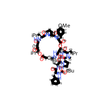 CC[C@H](C)[C@@H]1CCC(=O)O[C@@H](C(C)C)C(=O)[C@H](C)C(=O)N[C@@H](CC(C)C)C(=O)N2CCC[C@H]2C(=O)N(C)[C@@H](Cc2ccc(OC)cc2)C(=O)O[C@H](C)[C@H](NC(=O)[C@@H](CC(C)C)N(C)C(=O)[C@@H]2CCCN2C(=O)[C@H](C)NC(=O)[C@@H](Cc2ccccc2)NC(=O)OC(C)(C)C)C(=O)N1